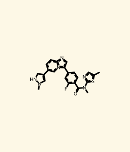 Cc1cnc(N(C)C(=O)c2ccc(-c3cnc4ccc(C5=CN(C)NC5)cn34)cc2F)s1